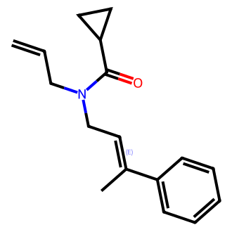 C=CCN(C/C=C(\C)c1ccccc1)C(=O)C1CC1